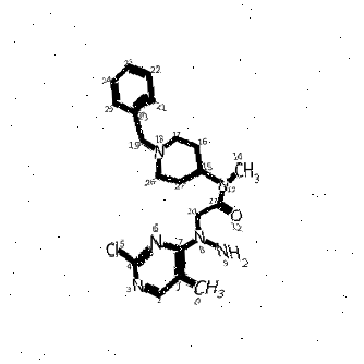 Cc1cnc(Cl)nc1N(N)CC(=O)N(C)C1CCN(Cc2ccccc2)CC1